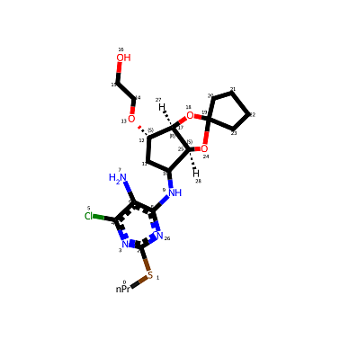 CCCSc1nc(Cl)c(N)c(NC2C[C@H](OCCO)[C@H]3OC4(CCCC4)O[C@@H]23)n1